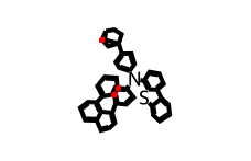 c1ccc(-c2cccc3cccc(-c4ccc(N(c5ccc(C67CCC(CC6)C7)cc5)c5cccc6c5sc5ccccc56)cc4)c23)cc1